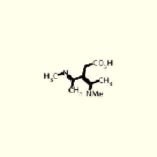 C/N=C(C)/C(CC(=O)O)=C(/C)NC